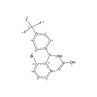 O=C(O)NC(c1ccc(C(F)(F)F)cc1)c1ncccc1Br